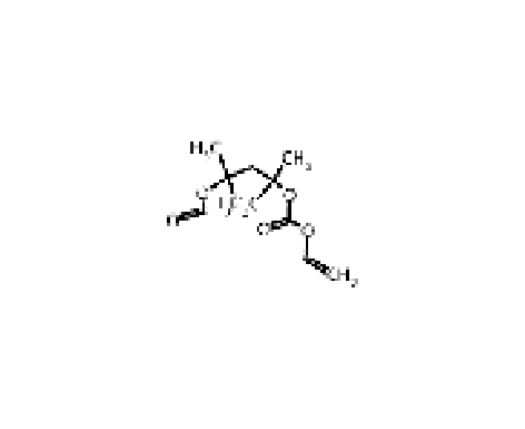 C=COC(=O)OC(C)(C)CC(C)(C)OC=O